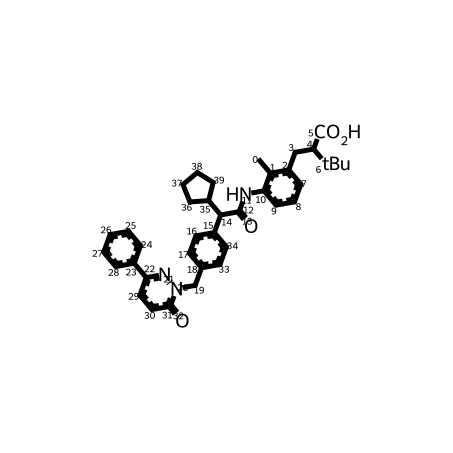 Cc1c(CC(C(=O)O)C(C)(C)C)cccc1NC(=O)C(c1ccc(Cn2nc(-c3ccccc3)ccc2=O)cc1)C1CCCC1